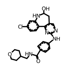 O=C(NCC1CCOCC1)c1ccc(Nc2ncc3c(n2)-c2ccc(Cl)cc2NC(O)C3)cc1